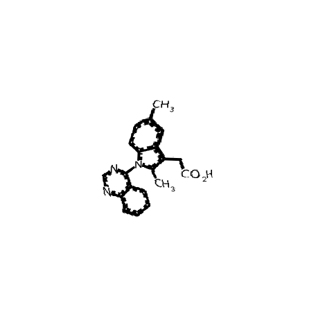 Cc1ccc2c(c1)c(CC(=O)O)c(C)n2-c1ncnc2ccccc12